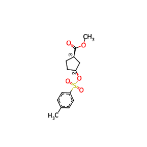 COC(=O)[C@@H]1CC[C@H](OS(=O)(=O)c2ccc(C)cc2)C1